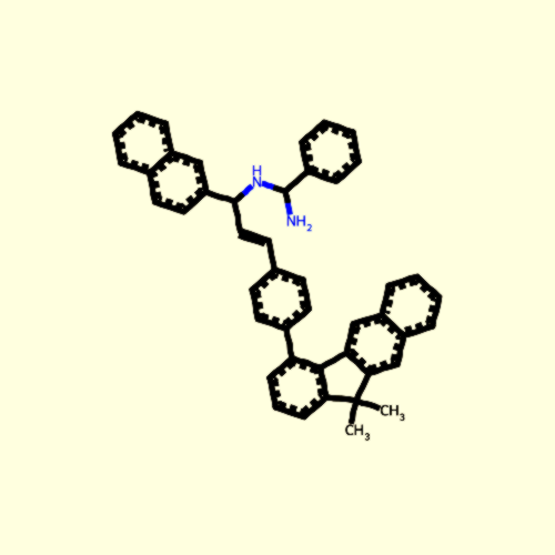 CC1(C)c2cc3ccccc3cc2-c2c(-c3ccc(/C=C/C(NC(N)c4ccccc4)c4ccc5ccccc5c4)cc3)cccc21